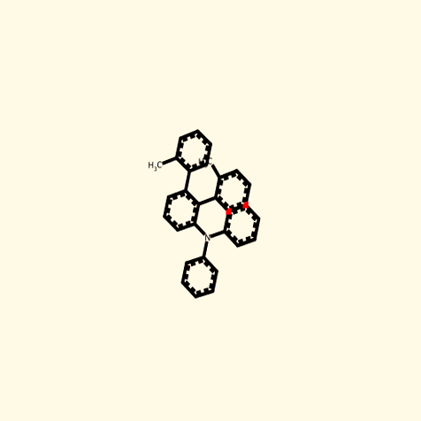 Cc1ccccc1-c1cccc(N(c2ccccc2)c2ccccc2)c1-c1ccccc1C